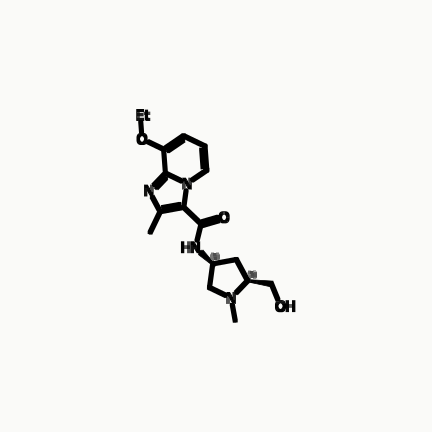 CCOc1cccn2c(C(=O)N[C@H]3C[C@@H](CO)N(C)C3)c(C)nc12